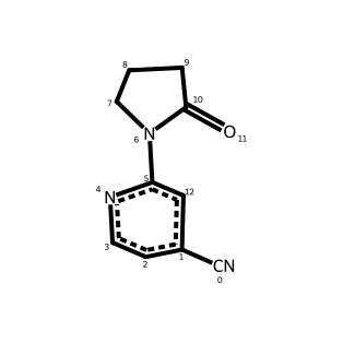 N#Cc1ccnc(N2CCCC2=O)c1